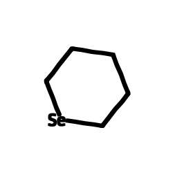 C1CC[Se]CC1